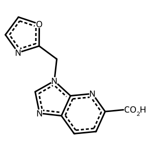 O=C(O)c1ccc2ncn(Cc3ncco3)c2n1